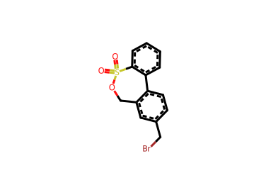 O=S1(=O)OCc2cc(CBr)ccc2-c2ccccc21